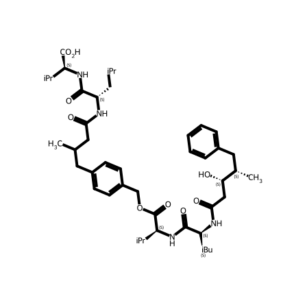 CC[C@H](C)[C@H](NC(=O)C[C@H](O)[C@@H](C)Cc1ccccc1)C(=O)N[C@H](C(=O)OCc1ccc(CC(C)CC(=O)N[C@@H](CC(C)C)C(=O)N[C@H](C(=O)O)C(C)C)cc1)C(C)C